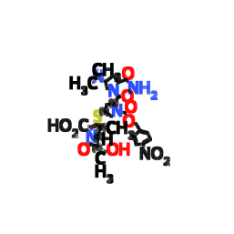 CC(O)[C@@H]1C(=O)N2C(C(=O)O)=C(S[C@H]3C[C@@H](C(=O)N4CC(N(C)C)CC4C(N)=O)N(C(=O)OCc4ccc([N+](=O)[O-])cc4)C3)[C@H](C)[C@@H]12